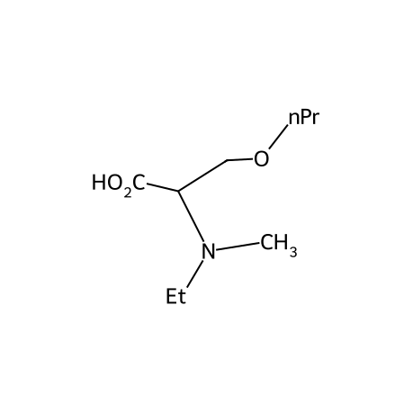 CCCOCC(C(=O)O)N(C)CC